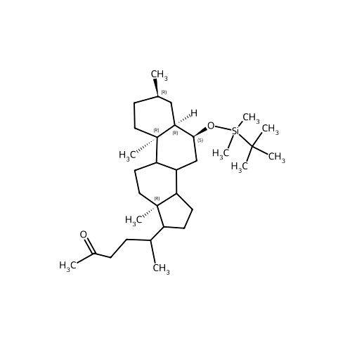 CC(=O)CCC(C)C1CCC2C3C[C@H](O[Si](C)(C)C(C)(C)C)[C@@H]4C[C@H](C)CC[C@]4(C)C3CC[C@]12C